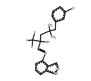 CC(C)(Cc1cccc(Cl)c1)CC(O)(/C=N/c1cccc2[nH]ncc12)C(F)(F)F